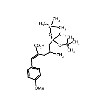 COc1ccc(C=C(CC(C)C[Si](C)(O[Si](C)(C)C)O[Si](C)(C)C)C(=O)O)cc1